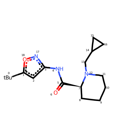 CC(C)(C)c1cc(NC(=O)[C@@H]2CCCCN2CC2CC2)no1